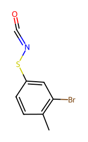 Cc1ccc(SN=C=O)cc1Br